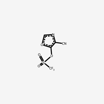 N#Cc1ncoc1OS(=O)(=O)C(F)(F)F